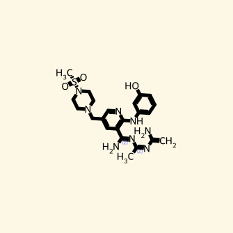 C=C(N)/N=C(C)\N=C(/N)c1cc(CN2CCN(S(C)(=O)=O)CC2)cnc1Nc1cccc(O)c1